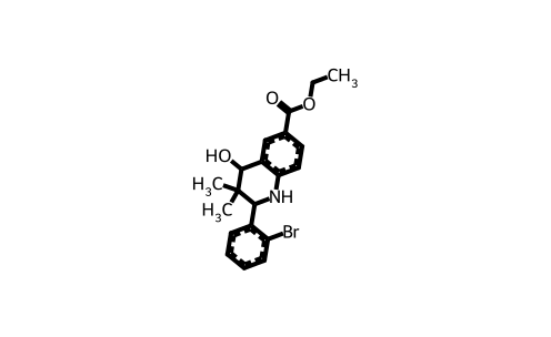 CCOC(=O)c1ccc2c(c1)C(O)C(C)(C)C(c1ccccc1Br)N2